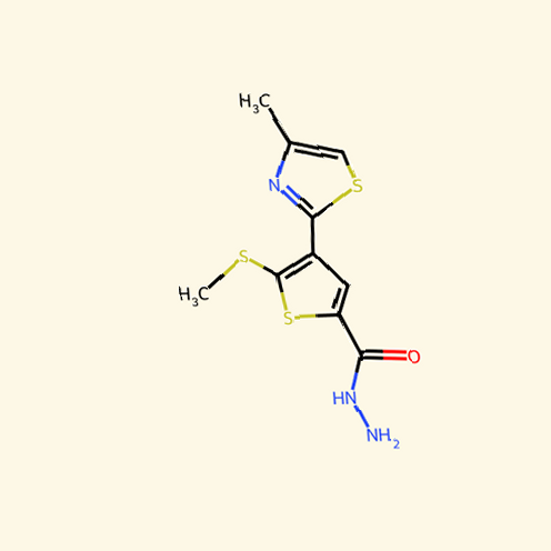 CSc1sc(C(=O)NN)cc1-c1nc(C)cs1